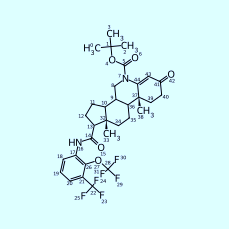 CC(C)(C)OC(=O)N1CC2C3CCC(C(=O)Nc4cccc(C(F)(F)F)c4OC(F)(F)F)[C@@]3(C)CCC2[C@@]2(C)CCC(=O)C=C12